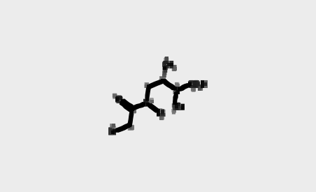 CCN(C[C@H](C)N(C(=O)O)C(C)(C)C)C(=O)CBr